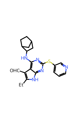 CCc1[nH]c2nc(Sc3cccnc3)nc(NC3CC4CCC3C4)c2c1C=O